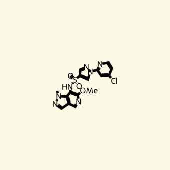 COc1ncc2cnn(C)c2c1NS(=O)(=O)c1cnn(-c2cc(Cl)ccn2)c1